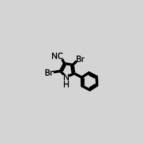 N#Cc1c(Br)[nH]c(-c2ccccc2)c1Br